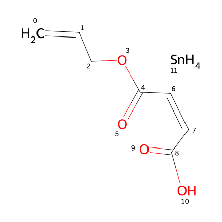 C=CCOC(=O)/C=C\C(=O)O.[SnH4]